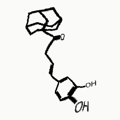 O=C(CC=Cc1ccc(O)c(O)c1)C12CC3CC(CC(C3)C1)C2